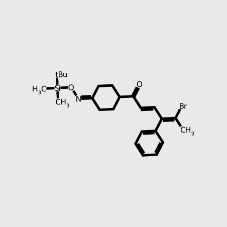 C/C(Br)=C(/C=C/C(=O)C1CCC(=NO[Si](C)(C)C(C)(C)C)CC1)c1ccccc1